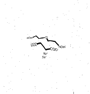 CCCCCCCCCCCCOCCCCCCCCCCCC.O=C([O-])CCC(=O)[O-].[Na+].[Na+]